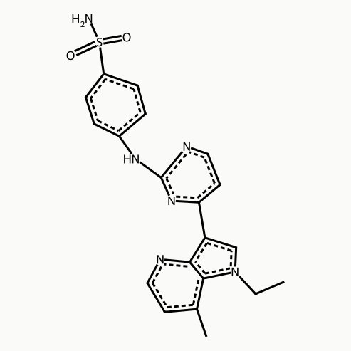 CCn1cc(-c2ccnc(Nc3ccc(S(N)(=O)=O)cc3)n2)c2nccc(C)c21